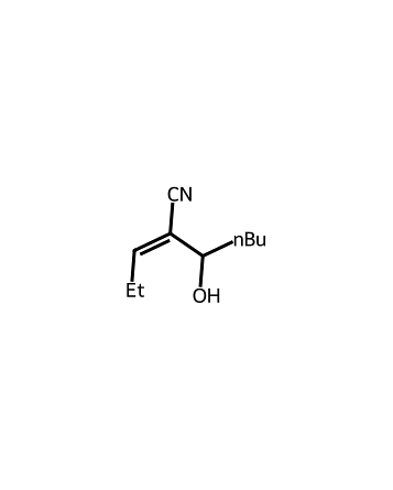 CC/C=C(/C#N)C(O)CCCC